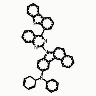 C1=CCC(N(c2ccccc2)c2ccc3c(c2)c2c4ccccc4ccc2n3-c2nc(-c3cccc4c3sc3ccccc34)c3ccccc3n2)C=C1